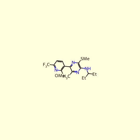 CCC(CC)Nc1nc(C)c(-c2ccc(C(F)(F)F)nc2OC)nc1SC